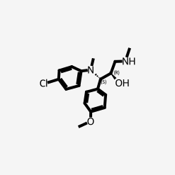 CNC[C@@H](O)[C@H](c1ccc(OC)cc1)N(C)c1ccc(Cl)cc1